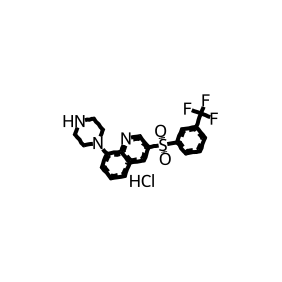 Cl.O=S(=O)(c1cccc(C(F)(F)F)c1)c1cnc2c(N3CCNCC3)cccc2c1